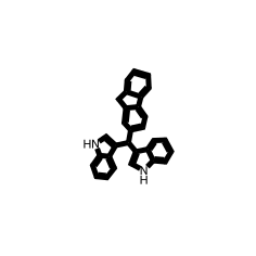 c1ccc2c(c1)Cc1cc(C(c3c[nH]c4ccccc34)c3c[nH]c4ccccc34)ccc1-2